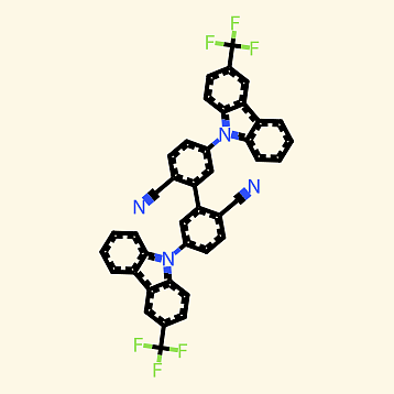 N#Cc1ccc(-n2c3ccccc3c3cc(C(F)(F)F)ccc32)cc1-c1cc(-n2c3ccccc3c3cc(C(F)(F)F)ccc32)ccc1C#N